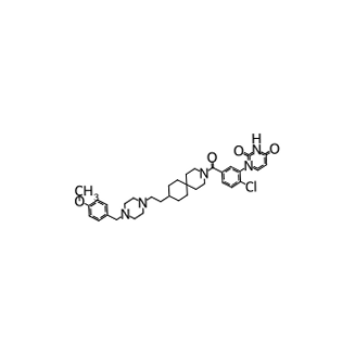 COc1ccc(CN2CCN(CCC3CCC4(CC3)CCN(C(=O)c3ccc(Cl)c(-n5ccc(=O)[nH]c5=O)c3)CC4)CC2)cc1